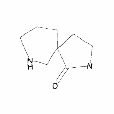 O=C1[N]CCC12CCCNC2